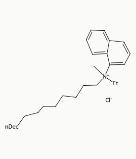 CCCCCCCCCCCCCCCCCC[N+](C)(CC)c1cccc2ccccc12.[Cl-]